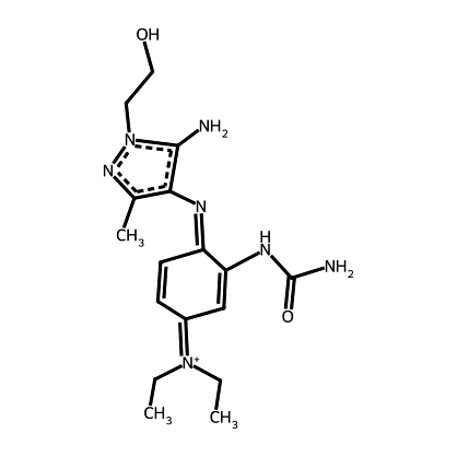 CC[N+](CC)=C1C=CC(=Nc2c(C)nn(CCO)c2N)C(NC(N)=O)=C1